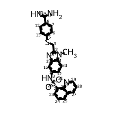 Cn1c(CSc2ccc(C(=N)N)cc2)nc2cc(NS(=O)(=O)c3cccc4cccnc34)ccc21